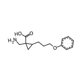 NCC1(C(=O)O)CC1CCCOc1ccccc1